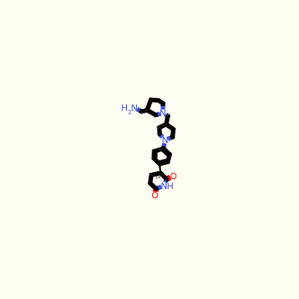 NCC1CCCN(CC2CCN(c3ccc([C@@H]4CCC(=O)NC4=O)cc3)CC2)C1